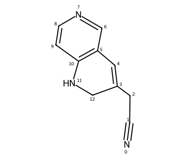 N#CCC1=Cc2cnccc2NC1